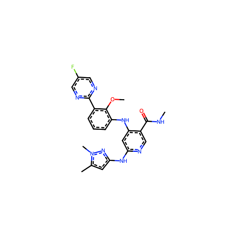 CNC(=O)c1cnc(Nc2cc(C)n(C)n2)cc1Nc1cccc(-c2ncc(F)cn2)c1OC